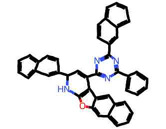 C1=C(c2nc(-c3ccccc3)nc(-c3ccc4ccccc4c3)n2)c2c(oc3cc4ccccc4cc23)NC1c1ccc2ccccc2c1